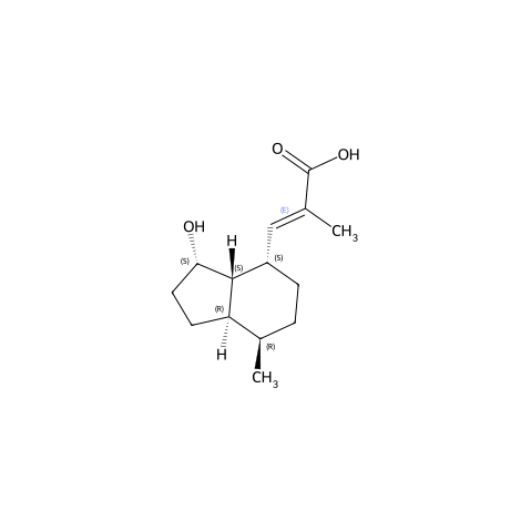 C/C(=C\[C@@H]1CC[C@@H](C)[C@H]2CC[C@H](O)[C@@H]21)C(=O)O